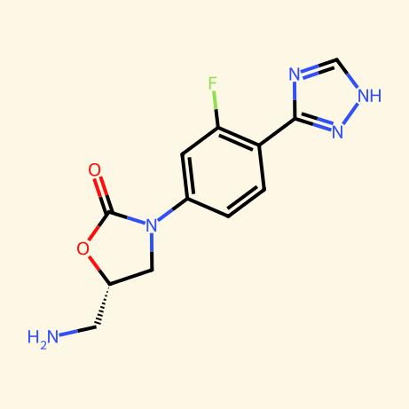 NC[C@H]1CN(c2ccc(-c3nc[nH]n3)c(F)c2)C(=O)O1